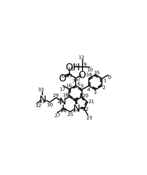 Cc1ccc(-c2c([C@H](OC(C)(C)C)C(=O)O)c(C)c3c4c2cc(C)n4C[C@@H](C)N3CCN(C)C)cc1